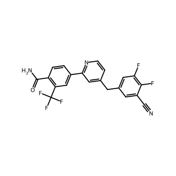 N#Cc1cc(Cc2ccnc(-c3ccc(C(N)=O)c(C(F)(F)F)c3)c2)cc(F)c1F